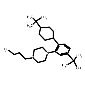 CCCCN1CCN(c2cc(C(C)(C)O)ccc2C2CCC(C(C)(C)C)CC2)CC1